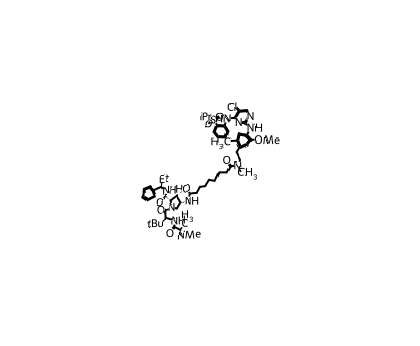 CC[C@@H](NC(=O)[C@@H]1C[C@H](NC(O)CCCCCCCC(=O)N(C)CCc2cc(OC)c(Nc3ncc(Cl)c(Nc4ccccc4S(=O)(=O)C(C)C)n3)cc2C)CN1C(=O)[C@@H](NC(=O)[C@H](C)NC)C(C)(C)C)c1ccccc1